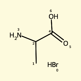 Br.CC(N)C(=O)O